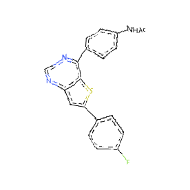 CC(=O)Nc1ccc(-c2ncnc3cc(-c4ccc(F)cc4)sc23)cc1